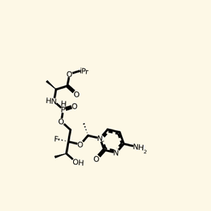 CC(C)OC(=O)[C@H](C)N[PH](=O)OC[C@@](F)(O[C@H](C)n1ccc(N)nc1=O)[C@H](C)O